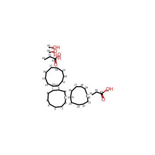 C1CCCCCCCCC1.C1CCCCCCCCC1.C1CCCCCCCCC1.CCC(=O)O.CCC(=O)O.CO.CO